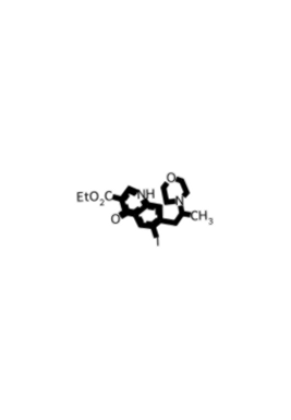 CCOC(=O)c1c[nH]c2cc(CC(C)N3CCOCC3)c(I)cc2c1=O